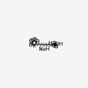 COC1=C(OC)C(=O)C(CCCCCCCCCCOP(=O)(O)O)=C(C)C1=O.[NaH]